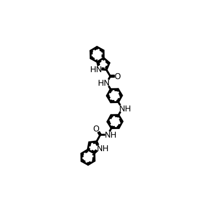 O=C(Nc1ccc(Nc2ccc(NC(=O)c3cc4ccccc4[nH]3)cc2)cc1)c1cc2ccccc2[nH]1